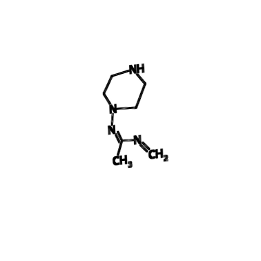 C=N/C(C)=N\N1CCNCC1